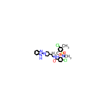 Cc1cc(S(=O)(=O)N(C)c2cc(C(=O)NCCC3CCN(c4nc5ccccc5[nH]4)CC3)ccc2Cl)c(C)cc1Cl